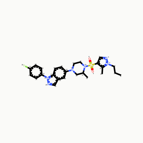 CCCn1ncc(S(=O)(=O)N2CCN(c3ccc4c(cnn4-c4ccc(F)cc4)c3)CC2C)c1C